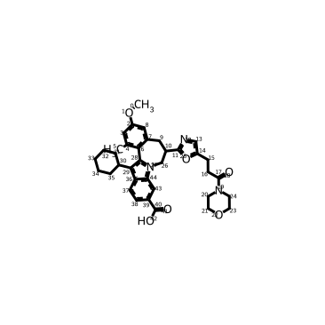 COc1cc(C)c2c(c1)CC(c1ncc(CCC(=O)N3CCOCC3)o1)Cn1c-2c(C2CCCCC2)c2ccc(C(=O)O)cc21